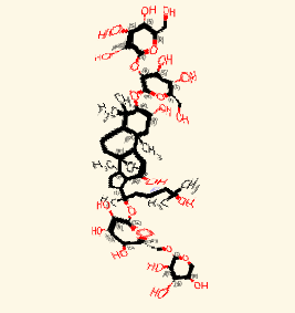 CC(C)(O)/C=C/C[C@](C)(O[C@@H]1O[C@H](CO[C@@H]2OC[C@@H](O)[C@H](O)[C@H]2O)[C@@H](O)[C@H](O)[C@H]1O)[C@H]1CC[C@]2(C)C1[C@H](O)CC1[C@@]3(C)C[C@@H](O)[C@H](O[C@@H]4O[C@H](CO)[C@@H](O)[C@H](O)[C@H]4O[C@@H]4O[C@H](CO)[C@@H](O)[C@H](O)[C@H]4O)C(C)(C)C3CC[C@]12C